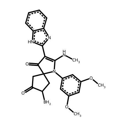 BC1CC2(CC1=O)C(=O)C(c1nc3ccccc3[nH]1)=C(NC)N2c1cc(OC)cc(OC)c1